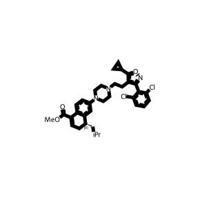 COC(=O)C1=CC[C@@H](CC(C)C)c2cc(N3CCN(CCc4c(-c5c(Cl)cccc5Cl)noc4C4CC4)CC3)ccc21